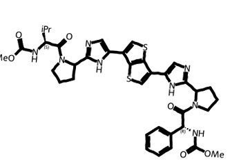 COC(=O)N[C@H](C(=O)N1CCCC1c1ncc(-c2csc3c(-c4cnc(C5CCCN5C(=O)[C@H](NC(=O)OC)c5ccccc5)[nH]4)csc23)[nH]1)C(C)C